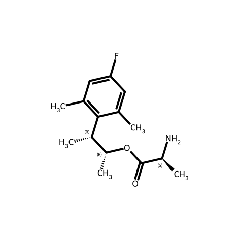 Cc1cc(F)cc(C)c1[C@@H](C)[C@@H](C)OC(=O)[C@H](C)N